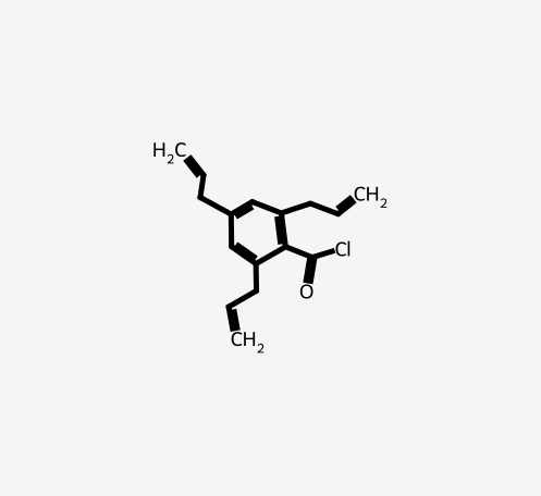 C=CCc1cc(CC=C)c(C(=O)Cl)c(CC=C)c1